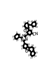 N#Cc1cc(-c2nc(-c3ccccc3)nc(-c3ccc4oc5c6ccccc6ccc5c4c3)n2)c2oc3cccc(-c4ccccc4)c3c2c1